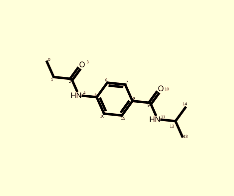 CCC(=O)Nc1ccc(C(=O)NC(C)C)cc1